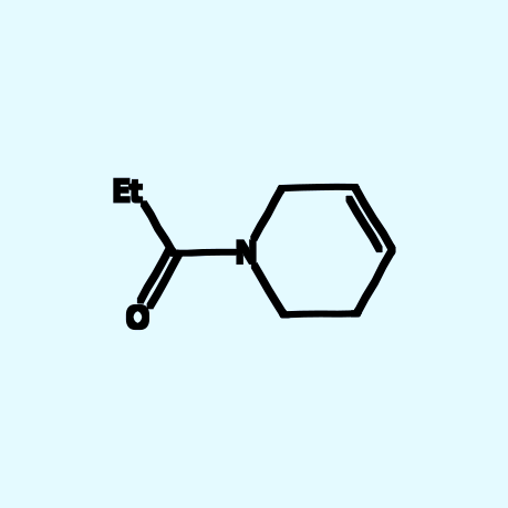 CCC(=O)N1CC=CCC1